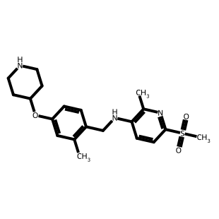 Cc1cc(OC2CCNCC2)ccc1CNc1ccc(S(C)(=O)=O)nc1C